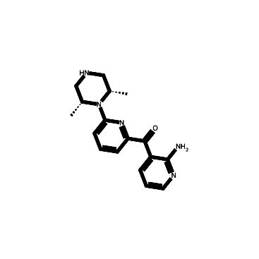 C[C@@H]1CNC[C@H](C)N1c1cccc(C(=O)c2cccnc2N)n1